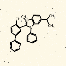 Cc1ccc(-c2ccccc2)cc1-c1n(-c2ccccc2)c2cc(C(C)C)ccc2[n+]1C